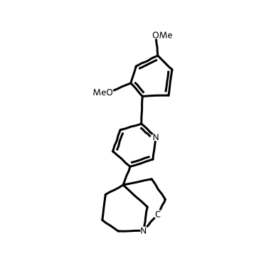 COc1ccc(-c2ccc(C34CCCN(CCC3)C4)cn2)c(OC)c1